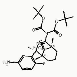 CC(C)(C)OC(=O)N(C(=O)OC(C)(C)C)C1=N[C@](C)(c2cc(N)ccc2F)[C@@]2(C)CCC[C@]1(C)S2(=O)=O